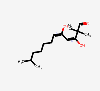 CC(C)CCCC/C=C(O)\C=C(\O)C(C)(C)C=O